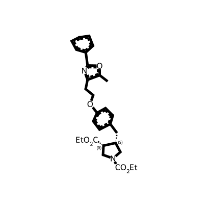 CCOC(=O)[C@H]1CN(C(=O)OCC)C[C@H]1Cc1ccc(OCCc2nc(-c3ccccc3)oc2C)cc1